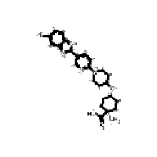 C[C@]1(C(=O)O)CC[C@H](OC2CCN(c3ccc(-c4nc5ccc(F)cc5[nH]4)cn3)CC2)CC1